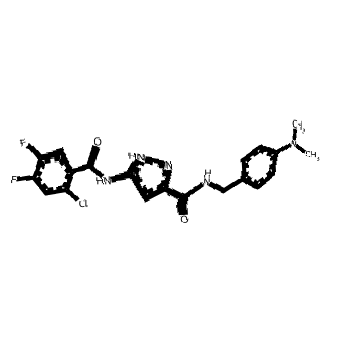 CN(C)c1ccc(CNC(=O)c2cc(NC(=O)c3cc(F)c(F)cc3Cl)[nH]n2)cc1